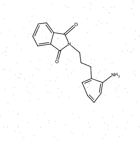 Nc1ccccc1CCCN1C(=O)c2ccccc2C1=O